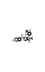 CC(C)n1c(=O)c2cnc(Nc3ccc4c(c3)CCNC4)nc2n1-c1ccc(F)c(C(C)(C)C)c1F